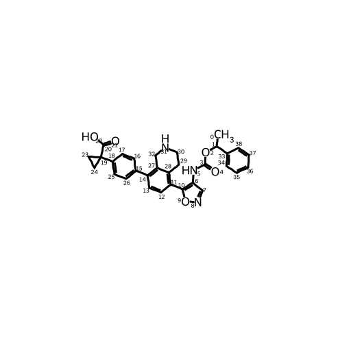 CC(OC(=O)Nc1cnoc1-c1ccc(-c2ccc(C3(C(=O)O)CC3)cc2)c2c1CCNC2)c1ccccc1